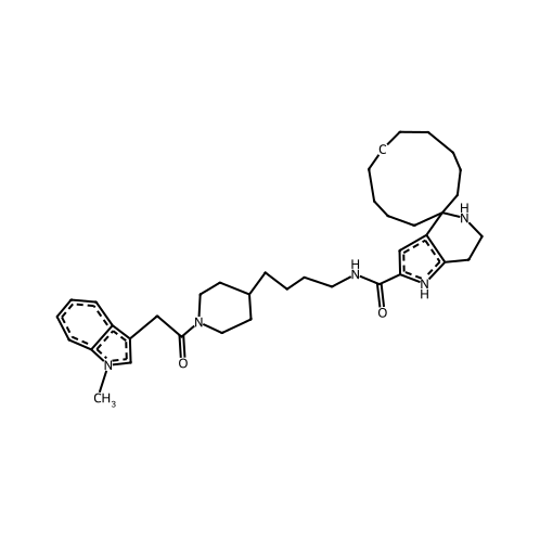 Cn1cc(CC(=O)N2CCC(CCCCNC(=O)c3cc4c([nH]3)CCNC43CCCCCCCCCC3)CC2)c2ccccc21